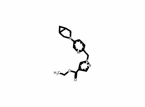 CCOC(=O)c1cnn(Cc2ccc(N3CC4CC4C3)cn2)c1